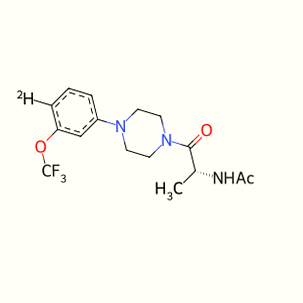 [2H]c1ccc(N2CCN(C(=O)[C@@H](C)NC(C)=O)CC2)cc1OC(F)(F)F